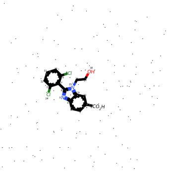 O=C(O)c1ccc2nc(-c3c(Cl)cccc3Cl)n(CCO)c2c1